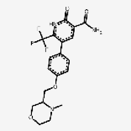 CN1CCOC[C@H]1COc1ccc(-c2cc(C(N)=O)c(=O)[nH]c2C(F)(F)F)cc1